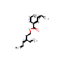 C=C/C=C(\C=C)CCOC(=O)C(/C=C\C)=C/C=C\C